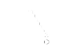 CCCCCCCCCCCCONS(=O)(=O)c1ccccc1